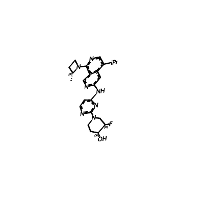 CC(C)c1cnc(N2CC[C@H]2C)c2cnc(Nc3ccnc(N4CC[C@H](O)[C@H](F)C4)n3)cc12